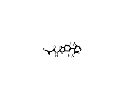 Cc1ccnc(C)c1-c1ccc2nc(NC(=O)C3CC3F)sc2c1